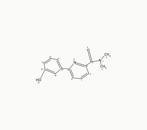 CN(C)C(=O)c1cccc(-c2cccc(O)c2)n1